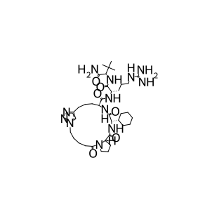 CC(C)(C)[C@H](NC(=O)[C@H](CCCNC(=N)N)NC(=O)[C@@H]1CCCc2cn(nn2)CCCCC(=O)N2CCC[C@H]2C(=O)N[C@@H](C2CCCCC2)C(=O)N1)C(N)=O